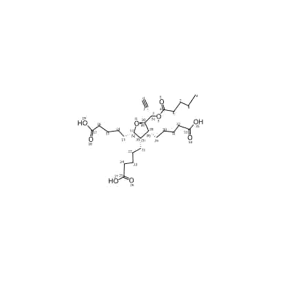 C#C[C@H](OC(=O)CCCC)[C@@H]1O[C@@H](CCCCC(=O)O)[C@@H](CCCCC(=O)O)[C@H]1CCCCC(=O)O